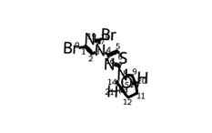 Brc1cn(-c2csc(N3C[C@H]4CC[C@@H](C3)O4)n2)c(Br)n1